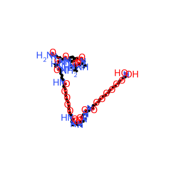 CC(C)[C@H](NC(=O)[C@@H](N)CCCCNC(=O)CCOCCOCCOCCOCCNC(=O)CN(C)C(=O)CN(C)C(=O)CN(C)C(=O)CN(C)C(=O)CN(C)C(=O)CCOCCOCCOCCOCCOCCOCCN(O)O)C(=O)N[C@@H](CCCNC(N)=O)C(=O)Nc1ccc(COC(=O)N(C)[C@H](C(=O)N[C@H](C(=O)N(C)C)C(C)C)C(C)C)cc1